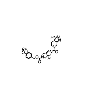 O=C(OCc1ccc(OC(F)(F)F)cc1)N1CC2=CN(C(=O)N3CCc4[nH]nnc4C3)C[C@H]2C1